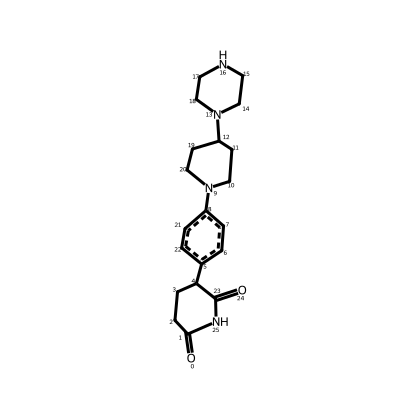 O=C1CCC(c2ccc(N3CCC(N4CCNCC4)CC3)cc2)C(=O)N1